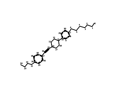 CCCCCCCc1ccc(C2CCC(C#Cc3ccc(CCCC)cc3)CC2)cc1